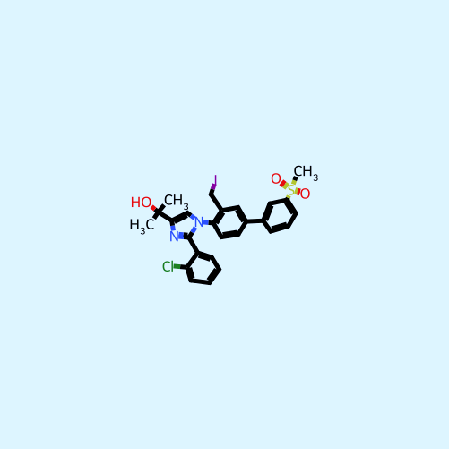 CC(C)(O)c1cn(-c2ccc(-c3cccc(S(C)(=O)=O)c3)cc2CI)c(-c2ccccc2Cl)n1